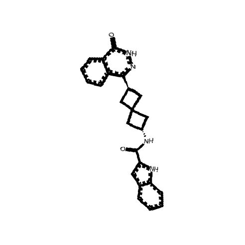 O=C(N[C@H]1CC2(C1)C[C@H](c1n[nH]c(=O)c3ccccc31)C2)c1cc2ccccc2[nH]1